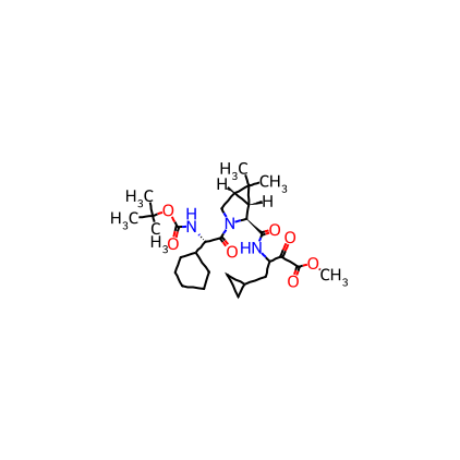 COC(=O)C(=O)C(CC1CC1)NC(=O)[C@@H]1[C@@H]2[C@H](CN1C(=O)[C@@H](NC(=O)OC(C)(C)C)C1CCCCC1)C2(C)C